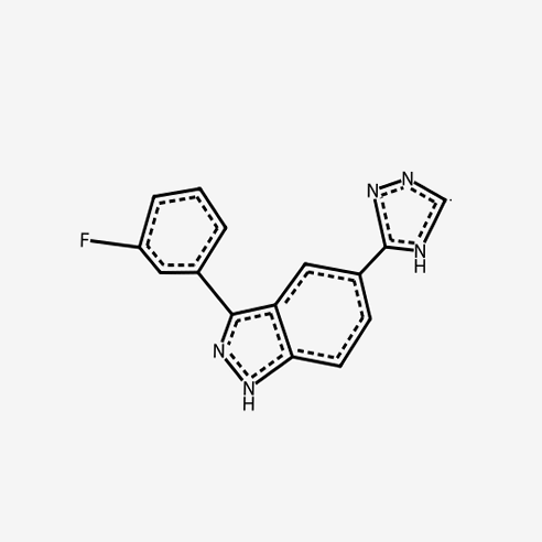 Fc1cccc(-c2n[nH]c3ccc(-c4nn[c][nH]4)cc23)c1